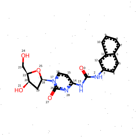 O=C(Nc1ccc2ccccc2c1)Nc1ccn([C@H]2C[C@@H](O)[C@@H](CO)O2)c(=O)n1